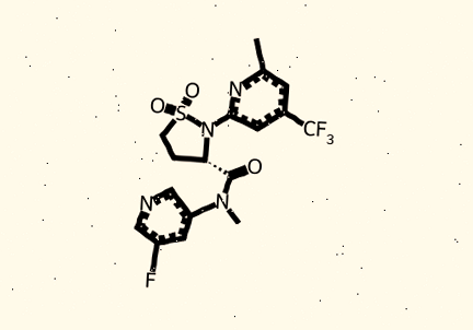 Cc1cc(C(F)(F)F)cc(N2[C@H](C(=O)N(C)c3cncc(F)c3)CCS2(=O)=O)n1